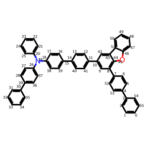 c1ccc(-c2ccc(-c3cc(-c4ccc(-c5ccc(N(c6ccccc6)c6ccc(-c7ccccc7)cc6)cc5)cc4)cc4c3oc3ccccc34)cc2)cc1